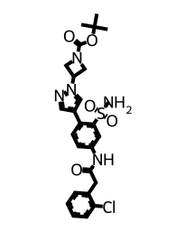 CC(C)(C)OC(=O)N1CC(n2cc(-c3ccc(NC(=O)Cc4ccccc4Cl)cc3S(N)(=O)=O)cn2)C1